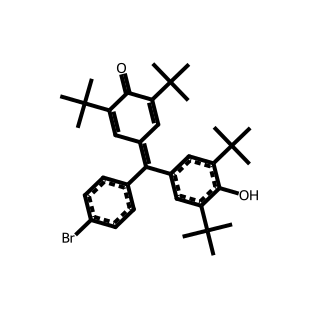 CC(C)(C)C1=CC(=C(c2ccc(Br)cc2)c2cc(C(C)(C)C)c(O)c(C(C)(C)C)c2)C=C(C(C)(C)C)C1=O